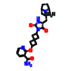 NC(=O)c1cccnc1OC1CC2(C1)CC(N1C(=O)NC(CC3CC4CCC(C3)N4C(=O)O)C1=O)C2